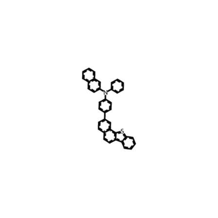 c1ccc(N(c2ccc(-c3ccc4ccc5c6ccccc6sc5c4c3)cc2)c2ccc3ccccc3c2)cc1